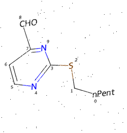 CCCCCCSc1nccc(C=O)n1